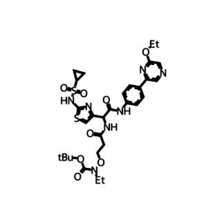 CCOc1cncc(-c2ccc(NC(=O)C(NC(=O)CCON(CC)C(=O)OC(C)(C)C)c3csc(NS(=O)(=O)C4CC4)n3)cc2)n1